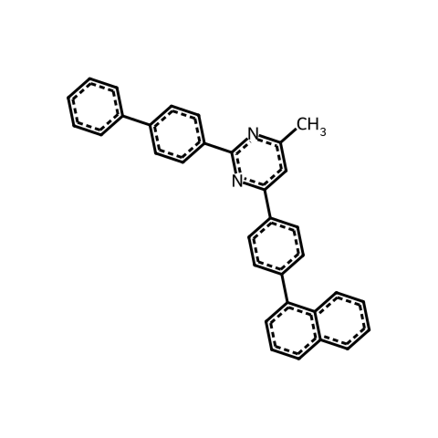 Cc1cc(-c2ccc(-c3cccc4ccccc34)cc2)nc(-c2ccc(-c3ccccc3)cc2)n1